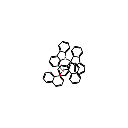 c1ccc(C2(n3c4ccccc4c4cccc(N(c5cccc6ccccc56)c5cccc6ccccc56)c43)c3ccccc3-c3ccccc32)cc1